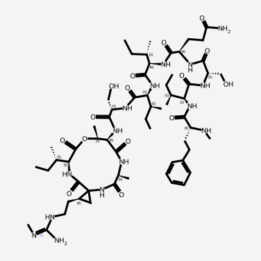 CC[C@H](C)[C@H](NC(=O)[C@@H](CCc1ccccc1)NC)C(=O)N[C@@H](CO)C(=O)N[C@H](CCC(N)=O)C(=O)N[C@@H](C(=O)N[C@H](C(=O)N[C@@H](CO)C(=O)N[C@H]1C(=O)N[C@@H](C)C(=O)NC2(C[C@H]2CCN/C(N)=N\C)C(=O)N[C@@H]([C@@H](C)CC)C(=O)O[C@H]1C)[C@@H](C)CC)[C@@H](C)CC